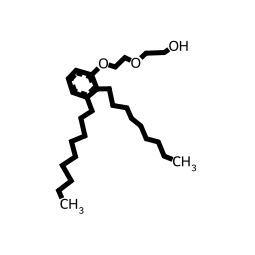 CCCCCCCCCc1cccc(OCCOCCO)c1CCCCCCCCC